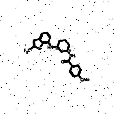 COc1ccc(C(=O)N[C@@H]2CCC[C@H](Nc3cccc4cc(C(F)(F)F)sc34)C2)cc1